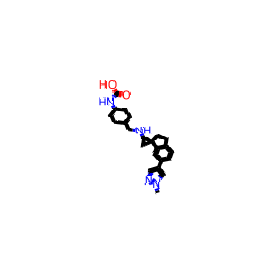 Cn1cc(-c2ccc3c(c2)C2(CC3)CC2NCC2CCC(NC(=O)O)CC2)cn1